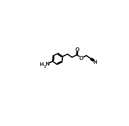 N#CCOC(=O)CCc1ccc(N)cc1